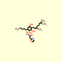 CCCCCc1cc(O)c(CC=C(C)CCC=C(C)C)c(O)c1S(=O)(=O)NC(=O)Cc1ncco1